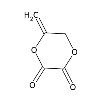 C=C1COC(=O)C(=O)O1